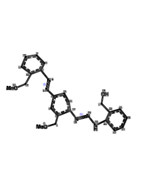 COCc1cc(/N=N/c2ccccc2COC)ccc1/N=N/Nc1ccccc1CO